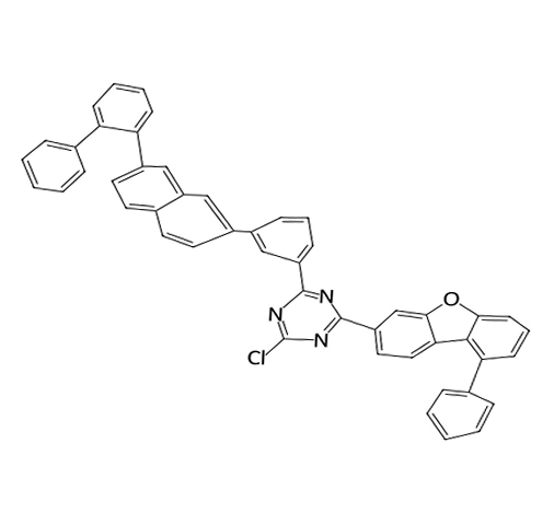 Clc1nc(-c2cccc(-c3ccc4ccc(-c5ccccc5-c5ccccc5)cc4c3)c2)nc(-c2ccc3c(c2)oc2cccc(-c4ccccc4)c23)n1